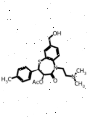 CC(=O)O[C@@H]1C(=O)N(CCN(C)C)c2ccc(CO)cc2S[C@@H]1c1ccc(C)cc1